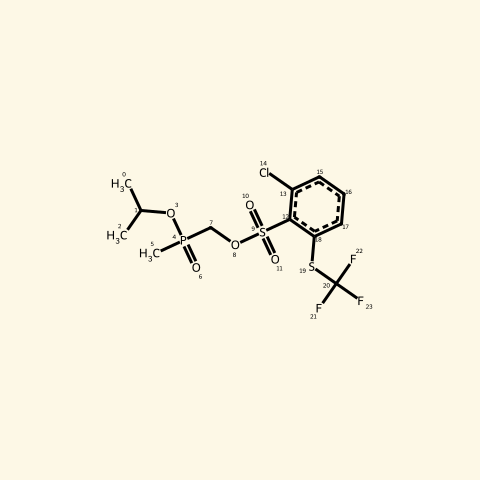 CC(C)OP(C)(=O)COS(=O)(=O)c1c(Cl)cccc1SC(F)(F)F